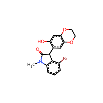 CN1C(=O)C(c2cc3c(cc2O)OCCO3)c2c(Br)cccc21